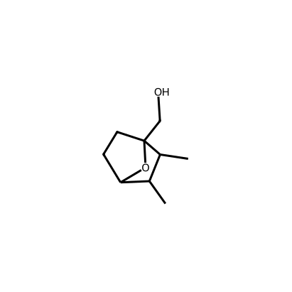 CC1C2CCC(CO)(O2)C1C